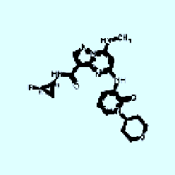 CNc1cc(Nc2cccn(C3CCOCC3)c2=O)nc2c(C(=O)N[C@H]3C[C@H]3F)cnn12